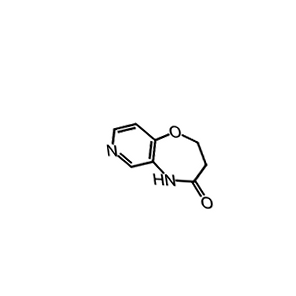 O=C1CCOc2ccncc2N1